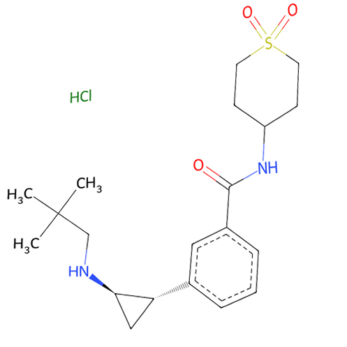 CC(C)(C)CN[C@@H]1C[C@H]1c1cccc(C(=O)NC2CCS(=O)(=O)CC2)c1.Cl